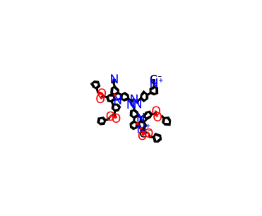 [C-]#[N+]c1cccc(-c2ccc(-c3nc(-c4ccc(-c5cccc(C#N)c5)c(-n5c6ccc(C(=O)OCc7ccccc7)cc6c6cc(C(=O)OCc7ccccc7)ccc65)c4)nc(-c4ccc(-c5cccc([N+]#[C-])c5)c(-n5c6ccc(C(=O)OCc7ccccc7)cc6c6cc(C(=O)OCc7ccccc7)ccc65)c4)n3)cc2)c1